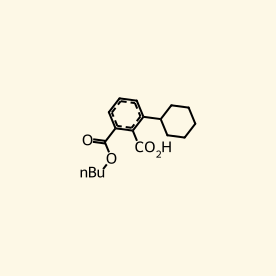 CCCCOC(=O)c1cccc(C2CCCCC2)c1C(=O)O